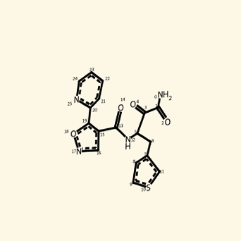 NC(=O)C(=O)C(Cc1ccsc1)NC(=O)c1cnoc1-c1ccccn1